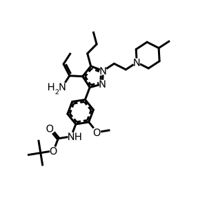 C/C=C(/N)c1c(-c2ccc(NC(=O)OC(C)(C)C)c(OC)c2)nn(CCN2CCC(C)CC2)c1CCC